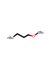 CCCCCC[CH]OC(C)(C)C